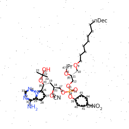 CCCCCCCCCCCCCCCCCCOC[C@H](COP(=O)(OC[C@H](C[C@@H](OC(C)(C)O)c1ccc2c(N)ncnn12)OC#N)Oc1ccc([N+](=O)[O-])cc1)OC(C)C